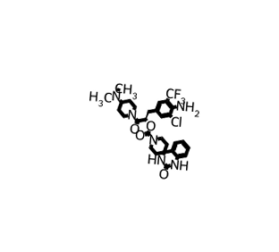 CN(C)C1CCN(C(=O)[C@@H](Cc2cc(Cl)c(N)c(C(F)(F)F)c2)OC(=O)N2CCC3(CC2)NC(=O)Nc2ccccc23)CC1